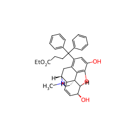 CCOC(=O)CCC(c1ccccc1)(c1ccccc1)c1cc(O)c2c3c1C[C@@H]1[C@@H]4C=C[C@H](O)[C@H](O2)[C@]34CCN1C